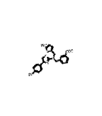 CC(C)c1ccc(-c2csc(N(Cc3cccc(C(=O)[O-])c3)Cc3cccs3)n2)cc1.[Na+]